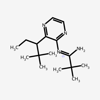 CCC(c1nccnc1/N=C(\N)C(C)(C)C)C(C)(C)C